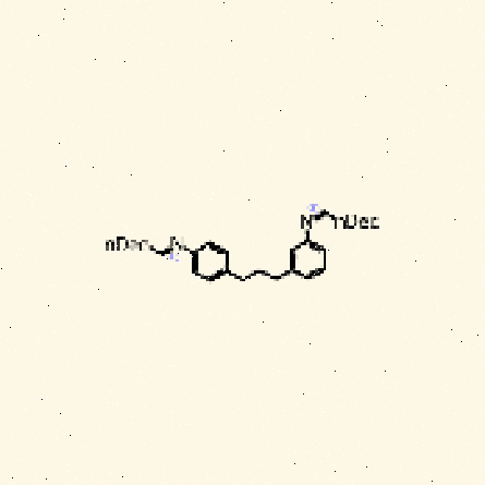 CCCCCCCCCC/C=N\c1cccc(CCCc2ccc(/N=C/CCCCCCCCCC)cc2)c1